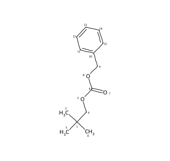 CC(C)(C)COC(=O)OCc1ccccc1